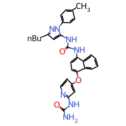 CCCCc1cc(NC(=O)Nc2ccc(Oc3ccnc(NC(N)=O)c3)c3ccccc23)n(-c2ccc(C)cc2)n1